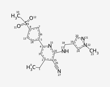 CCc1cc(-c2ccc(S(C)(=O)=O)cc2)nc(NCc2cnn(C)c2)c1C#N